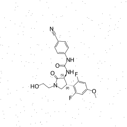 COc1cc(F)c([C@@H]2CN(CCO)C(=O)[C@H]2NC(=O)Nc2ccc(C#N)cc2)c(F)c1